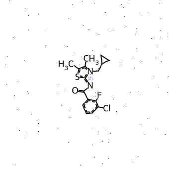 Cc1s/c(=N\C(=O)c2cccc(Cl)c2F)n(CC2CC2)c1C